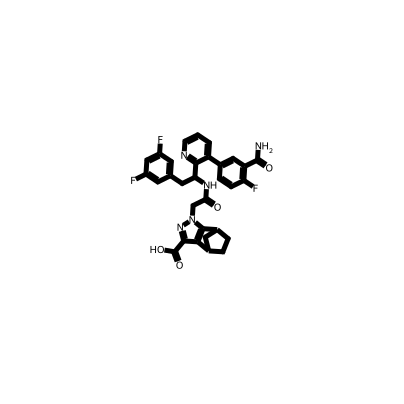 NC(=O)c1cc(-c2cccnc2C(Cc2cc(F)cc(F)c2)NC(=O)Cn2nc(C(=O)O)c3c2C2CCC3C2)ccc1F